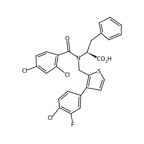 O=C(O)[C@H](Cc1ccccc1)N(Cc1sccc1-c1ccc(Cl)c(F)c1)C(=O)c1ccc(Cl)cc1Cl